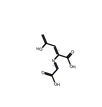 C=C(O)/C=C(\N=C\C(=O)O)C(=O)O